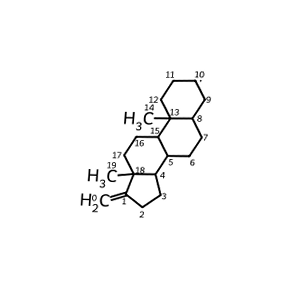 C=C1CCC2C3CCC4C[CH]CCC4(C)C3CCC12C